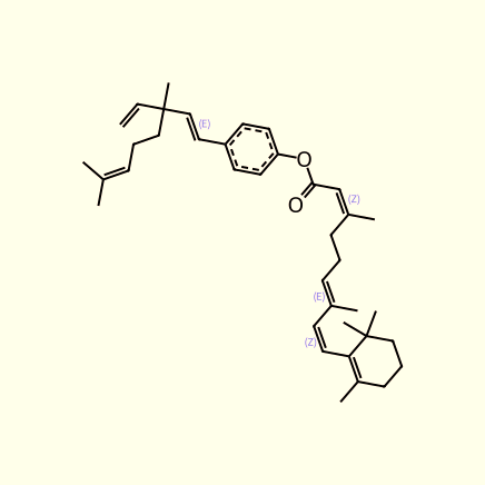 C=CC(C)(/C=C/c1ccc(OC(=O)/C=C(/C)CC/C=C(C)/C=C\C2=C(C)CCCC2(C)C)cc1)CCC=C(C)C